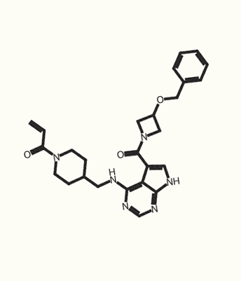 C=CC(=O)N1CCC(CNc2ncnc3[nH]cc(C(=O)N4CC(OCc5ccccc5)C4)c23)CC1